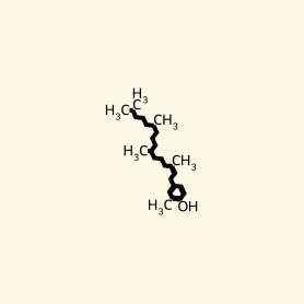 CC(=CCc1ccc(O)c(C)c1)CCCC(C)CCCC(C)CCCC(C)C